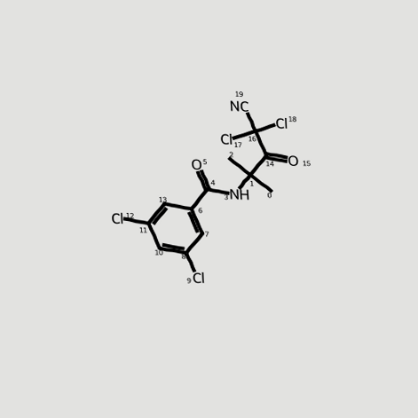 CC(C)(NC(=O)c1cc(Cl)cc(Cl)c1)C(=O)C(Cl)(Cl)C#N